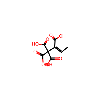 CC=C(C(=O)O)C(C(=O)O)(C(=O)O)C(=O)O